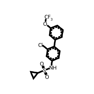 O=S(=O)(Nc1ccc(-c2cccc(OC(F)(F)F)c2)c(Cl)c1)C1CC1